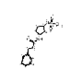 CS(=O)(=O)O[C@@H]1CC[C@@H](NC(=O)OCc2ccccc2)C1